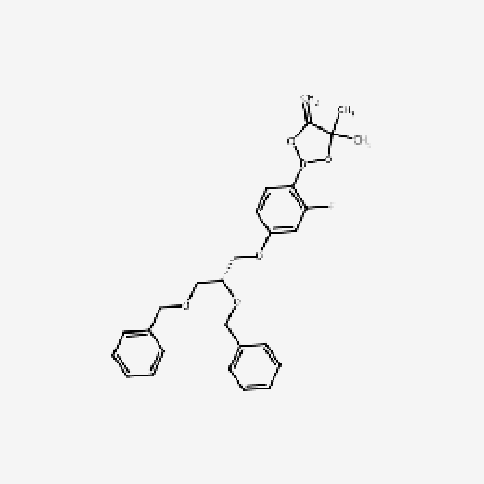 C=C1OB(c2ccc(OC[C@@H](COCc3ccccc3)OCc3ccccc3)cc2F)OC1(C)C